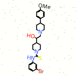 COc1ccc(C2CCN(CC(O)C3CCN(C(=S)Nc4cccc(Br)c4)CC3)CC2)cc1